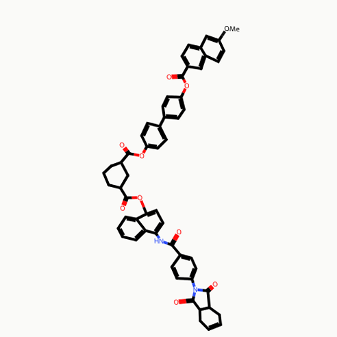 COc1ccc2cc(C(=O)Oc3ccc(-c4ccc(OC(=O)C5CCCC(C(=O)Oc6ccc(NC(=O)c7ccc(N8C(=O)C9CC=CCC9C8=O)cc7)c7ccccc67)C5)cc4)cc3)ccc2c1